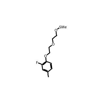 CSOCCOCCOc1ccc(C)cc1F